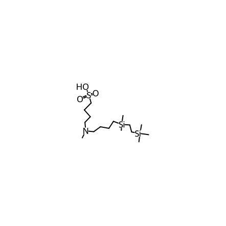 CN(CCCC[Si](C)(C)CC[Si](C)(C)C)CCCCS(=O)(=O)O